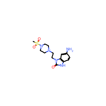 CS(=O)(=O)N1CCN(CCn2c(=O)[nH]c3ccc(N)cc32)CC1